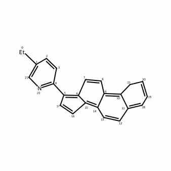 CCc1ccc(C2=c3ccc4c5c(ccc4c3C=C2)=CC=CC5)nc1